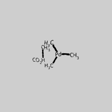 CC(=O)O.[CH3][Pd]([CH3])[CH3]